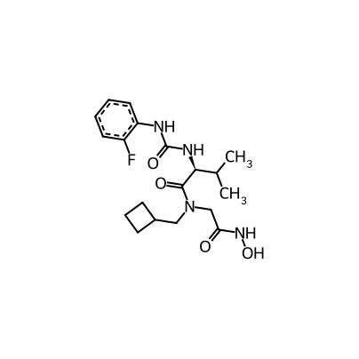 CC(C)[C@H](NC(=O)Nc1ccccc1F)C(=O)N(CC(=O)NO)CC1CCC1